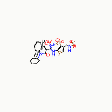 CS(=O)(=O)NCc1csc2c1S(=O)(=O)N=C(C1=C(O)[C@H]3CCCC[C@H]3N(C3CCCCC3)C1=O)N2